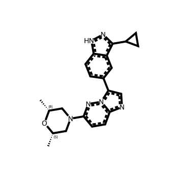 C[C@@H]1CN(c2ccc3ncc(-c4ccc5[nH]nc(C6CC6)c5c4)n3n2)C[C@H](C)O1